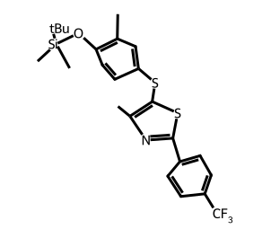 Cc1cc(Sc2sc(-c3ccc(C(F)(F)F)cc3)nc2C)ccc1O[Si](C)(C)C(C)(C)C